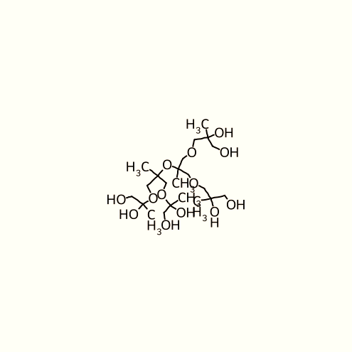 CC(O)(CO)COCC(C)(COCC(C)(O)CO)OC(C)(COC(C)(O)CO)COC(C)(O)CO